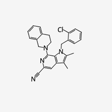 Cc1c(C)n(Cc2ccccc2Cl)c2c(N3CCc4ccccc4C3)nc(C#N)cc12